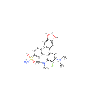 CN(C)c1cc(-c2cc3c(cc2-c2ccc(S(N)(=O)=O)cc2)OCO3)cc(N(C)C)c1F